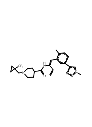 C=N/C(=C\c1cc(-c2cn(C)nn2)ccc1C)NC(=O)C1CCN(CC2(C(F)(F)F)CC2)CC1